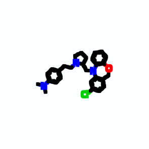 CN(C)c1ccc(CCN2CCCC2CN2c3cc(Cl)ccc3COc3ccccc32)cc1